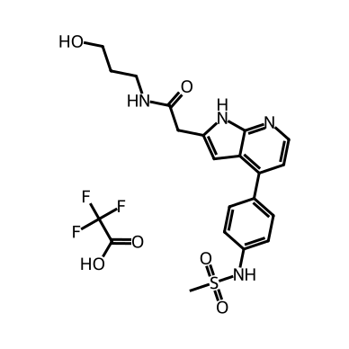 CS(=O)(=O)Nc1ccc(-c2ccnc3[nH]c(CC(=O)NCCCO)cc23)cc1.O=C(O)C(F)(F)F